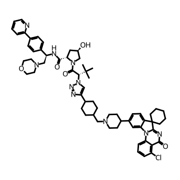 CC(C)(C)[C@@H](C(=O)N1C[C@H](O)C[C@H]1C(=O)N[C@@H](CN1CCOCC1)c1ccc(-c2ccccn2)cc1)n1cc(C2CCC(CN3CCC(c4ccc5c(c4)-n4c(nc(=O)c6c(Cl)cccc64)C54CCCCC4)CC3)CC2)nn1